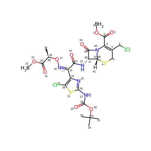 BOC(=O)C1=C(CCl)CS[C@@H]2[C@H](NC(=O)/C(=N\O[C@H](C)C(=O)OB)c3nc(NC(=O)OC(C)(C)C)sc3Cl)C(=O)N12